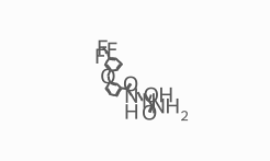 NC(=O)N(O)CCNC(=O)c1cccc(Oc2cccc(C(F)(F)F)c2)c1